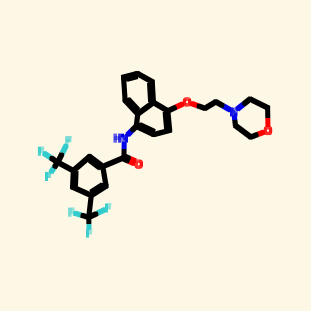 O=C(Nc1ccc(OCCN2CCOCC2)c2ccccc12)c1cc(C(F)(F)F)cc(C(F)(F)F)c1